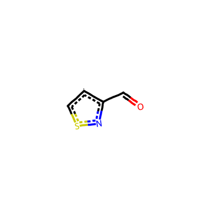 O=Cc1[c]csn1